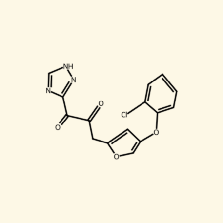 O=C(Cc1cc(Oc2ccccc2Cl)co1)C(=O)c1nc[nH]n1